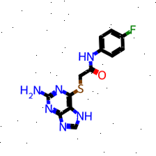 Nc1nc(SCC(=O)Nc2ccc(F)cc2)c2[nH]cnc2n1